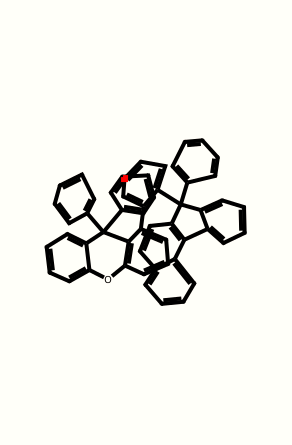 c1ccc(C2(c3ccccc3-c3cccc4c3C(c3ccccc3)(c3ccccc3)c3ccccc3O4)c3ccccc3-c3c2ccc2ccccc32)cc1